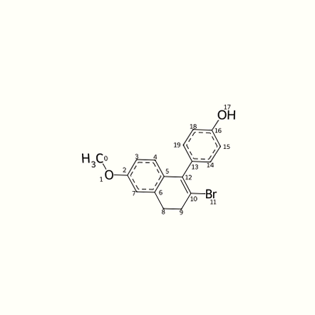 COc1ccc2c(c1)CCC(Br)=C2c1ccc(O)cc1